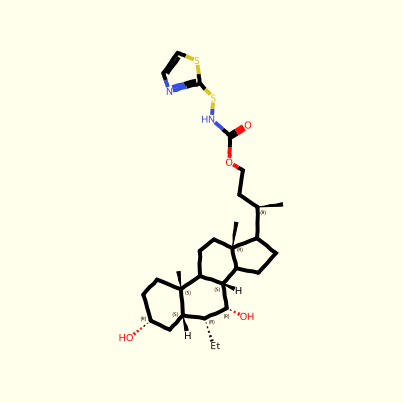 CC[C@H]1[C@@H](O)[C@H]2C3CCC([C@H](C)CCOC(=O)NSc4nccs4)[C@@]3(C)CCC2[C@@]2(C)CC[C@@H](O)C[C@@H]12